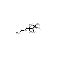 CCNCC(C)(C)N(C)C(C)(C)C